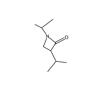 CC(C)C1CN(C(C)C)C1=O